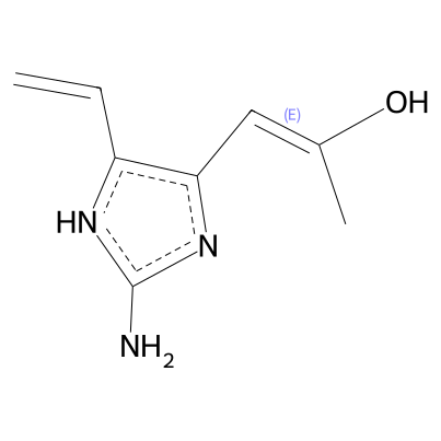 C=Cc1[nH]c(N)nc1/C=C(\C)O